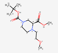 COCCN1CCN(C(=O)OC(C)(C)C)C[C@H]1C(=O)OC